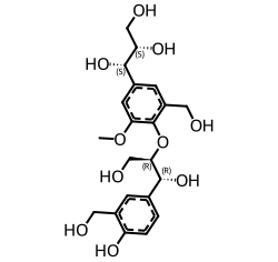 COc1cc([C@H](O)[C@@H](O)CO)cc(CO)c1O[C@H](CO)[C@H](O)c1ccc(O)c(CO)c1